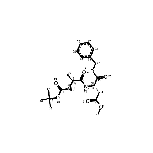 COC(=O)C[C@H](NC(=O)[C@H](C)NC(=O)OC(C)(C)C)C(=O)OCc1ccccc1